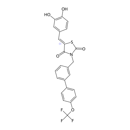 O=C1S/C(=C\c2ccc(O)c(O)c2)C(=O)N1Cc1cccc(-c2ccc(OC(F)(F)F)cc2)c1